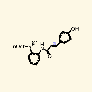 CCCCCCCC[S+]([O-])c1ccccc1NC(=O)/C=C/c1ccc(O)cc1